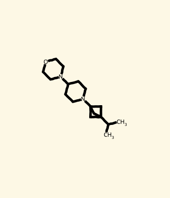 CC(C)C12CC(N3CCC(N4CCOCC4)CC3)(C1)C2